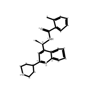 Cc1ccccc1C(=O)N[C@H](C)c1cc(C2CCOCC2)nc2ccccc12